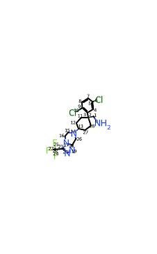 NC[C@]1(c2cc(Cl)ccc2Cl)CC[C@H](N2CCn3c(nnc3C(F)(F)F)C2)CC1